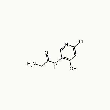 NCC(=O)Nc1cnc(Cl)cc1O